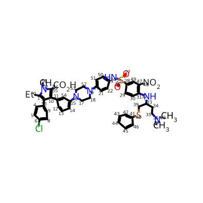 CCc1c(-c2ccc(Cl)cc2)c(-c2cccc(N3CCN(c4ccc(NS(=O)(=O)c5ccc(NC(CCN(C)C)CSc6ccccc6)c([N+](=O)[O-])c5)cc4)CC3)c2)c(C(=O)O)n1C